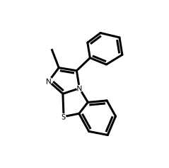 Cc1nc2sc3ccccc3n2c1-c1ccccc1